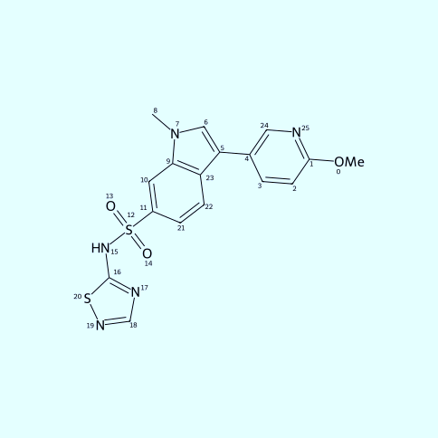 COc1ccc(-c2cn(C)c3cc(S(=O)(=O)Nc4ncns4)ccc23)cn1